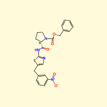 O=C(Nc1ncc(Cc2cccc([N+](=O)[O-])c2)s1)[C@@H]1CCCN1C(=O)OCc1ccccc1